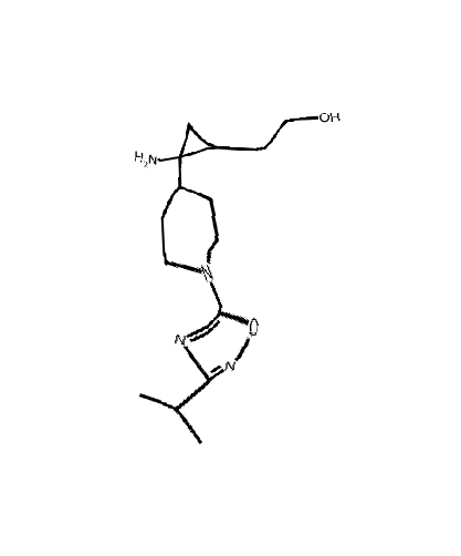 CC(C)c1noc(N2CCC(C3(N)CC3CCO)CC2)n1